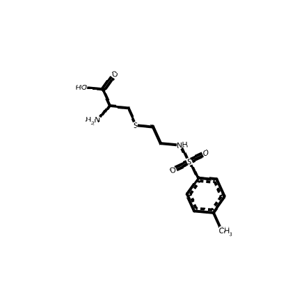 Cc1ccc(S(=O)(=O)NCCSCC(N)C(=O)O)cc1